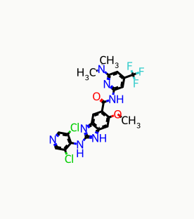 COc1cc2[nH]c(Nc3c(Cl)cncc3Cl)nc2cc1C(=O)Nc1cc(C(F)(F)F)cc(N(C)C)n1